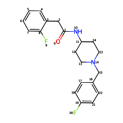 O=C(Cc1ccccc1F)NC1CCN(Cc2ccc(F)cc2)CC1